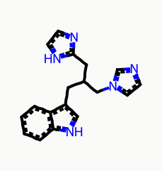 c1ccc2c(CC(Cc3ncc[nH]3)Cn3ccnc3)c[nH]c2c1